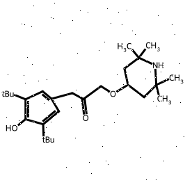 CC1(C)CC(OCC(=O)Cc2cc(C(C)(C)C)c(O)c(C(C)(C)C)c2)CC(C)(C)N1